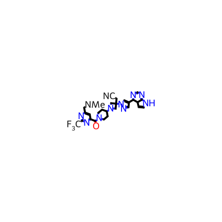 CNCc1cc(C(=O)N2CCC(N3CC(CC#N)(n4cc(C5N=CN=C6NC=CC65)cn4)C3)CC2)nc(C(F)(F)F)n1